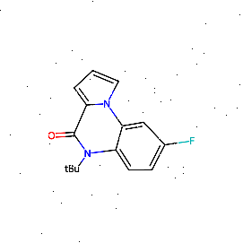 CC(C)(C)n1c(=O)c2cccn2c2cc(F)ccc21